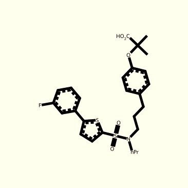 CCCN(CCCc1ccc(OC(C)(C)C(=O)O)cc1)S(=O)(=O)c1ccc(-c2cccc(F)c2)s1